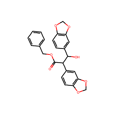 O=C(OCc1ccccc1)C(c1ccc2c(c1)OCO2)C(O)c1ccc2c(c1)OCO2